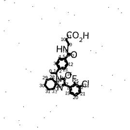 CC(c1ccc(C(=O)NCCC(=O)O)cc1)N1C(=O)C(c2cccc(Cl)c2F)=NC12CCCCC2